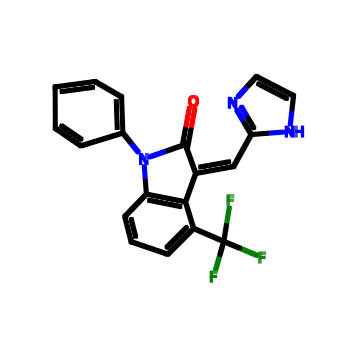 O=C1C(=Cc2ncc[nH]2)c2c(cccc2C(F)(F)F)N1c1ccccc1